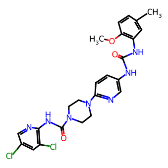 COc1ccc(C)cc1NC(=O)Nc1ccc(N2CCN(C(=O)Nc3ncc(Cl)cc3Cl)CC2)nc1